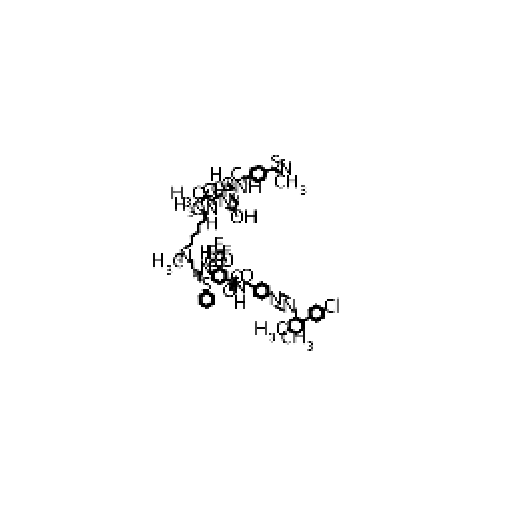 Cc1ncsc1-c1ccc([C@H](C)NC(=O)[C@@H]2C[C@@H](O)CN2C(=O)[C@@H](NC(=O)CCCCCCN(C)CC[C@H](CSc2ccccc2)Nc2ccc(S(=O)(=O)NC(=O)c3ccc(N4CCN(CC5=C(c6ccc(Cl)cc6)CCC(C)(C)C5)CC4)cc3)cc2S(=O)(=O)C(F)(F)F)C(C)(C)C)cc1